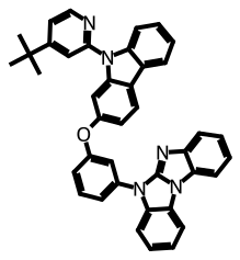 CC(C)(C)c1ccnc(-n2c3ccccc3c3ccc(Oc4cccc(-n5c6ccccc6n6c7ccccc7nc56)c4)cc32)c1